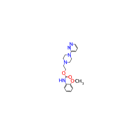 COc1ccccc1NC(=O)OCCN1CCN(c2cccnn2)CC1